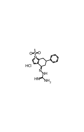 CS(=O)(=O)n1ccc2c1CC(c1ccccc1)C/C2=N\NC(=N)N.Cl